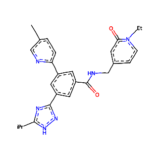 CCn1ccc(CNC(=O)c2cc(-c3ccc(C)cn3)cc(-c3n[nH]c(C(C)C)n3)c2)cc1=O